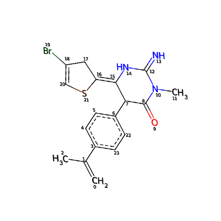 C=C(C)c1ccc(C2C(=O)N(C)C(=N)N/C2=C2\CC(Br)=CS2)cc1